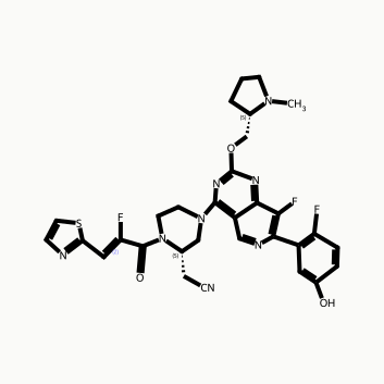 CN1CCC[C@H]1COc1nc(N2CCN(C(=O)/C(F)=C/c3nccs3)[C@@H](CC#N)C2)c2cnc(-c3cc(O)ccc3F)c(F)c2n1